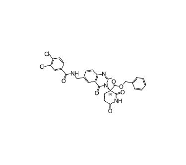 Cc1nc2ccc(CNC(=O)c3ccc(Cl)c(Cl)c3)cc2c(=O)n1[C@]1(C(=O)OCc2ccccc2)CCC(=O)NC1=O